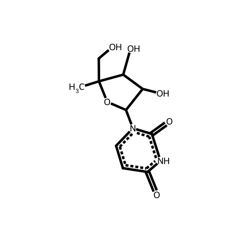 CC1(CO)OC(n2ccc(=O)[nH]c2=O)C(O)C1O